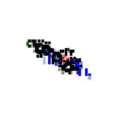 CCC[C@H]1C(=O)N(Cc2ccc3c(N)ncnc3c2)CCN1Cc1cc2cc(Cl)ccc2[nH]1